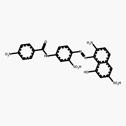 Nc1ccc2cc(S(=O)(=O)O)cc(O)c2c1N=Nc1ccc(NC(=O)c2ccc([N+](=O)[O-])cc2)cc1S(=O)(=O)O